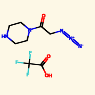 O=C(O)C(F)(F)F.[N-]=[N+]=NCC(=O)N1CCNCC1